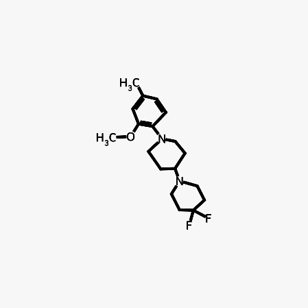 COc1cc(C)ccc1N1CCC(N2CCC(F)(F)CC2)CC1